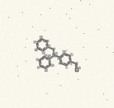 O=Cc1ccc(N(Cc2ccccc2)c2ccccc2)cc1